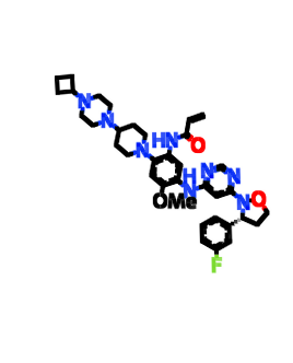 C=CC(=O)Nc1cc(Nc2cc(N3OCC[C@@H]3c3cccc(F)c3)ncn2)c(OC)cc1N1CCC(N2CCN(C3CCC3)CC2)CC1